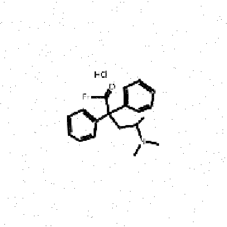 CCC(=O)C(CC(C)N(C)C)(c1ccccc1)c1ccccc1.Cl